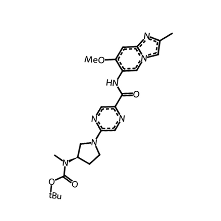 COc1cc2nc(C)cn2cc1NC(=O)c1cnc(N2CC[C@@H](N(C)C(=O)OC(C)(C)C)C2)cn1